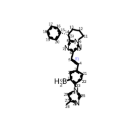 Bc1cc(/C=C/c2nc3n(n2)CCC[C@H]3c2ccccc2)ccc1-n1cnc(C)c1